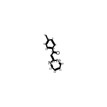 Cc1ccc(C(=O)C=C2N=CC=CC=N2)cc1